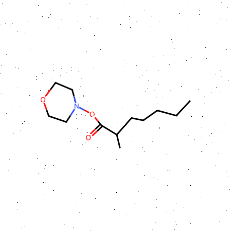 CCCCCC(C)C(=O)ON1CCOCC1